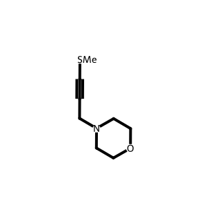 CSC#CCN1CCOCC1